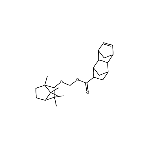 CC1(C)C2CCC(C)(C1OCOC(=O)C1CC3CC1C1C4C=CC(C4)C31)C2(C)C